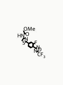 COCC(=O)NC1CSC(c2ccc(-c3noc(C(F)(F)F)n3)c(F)c2)=N1